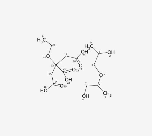 CC(O)COC(C)CO.CCOC(CC(=O)O)(CC(=O)O)C(=O)O